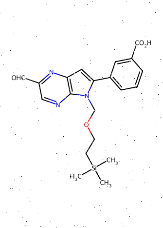 C[Si](C)(C)CCOCn1c(-c2cccc(C(=O)O)c2)cc2nc(C=O)cnc21